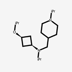 CC(C)O[C@H]1C[C@@H](N(CC2CCN(C(C)C)CC2)C(C)C)C1